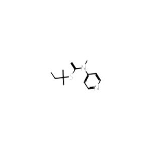 C=C(SC(C)(C)CC)N(C)c1ccncc1